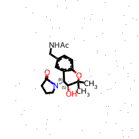 CC(=O)NCc1ccc2c(c1)[C@@H](N1CCCC1=O)[C@H](O)C(C)(C)O2